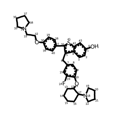 Oc1ccc2c(Cc3ccc(OC4CCCCC4N4CCCC4)c(F)c3)c(-c3ccc(OCCN4CCCC4)cc3)sc2c1